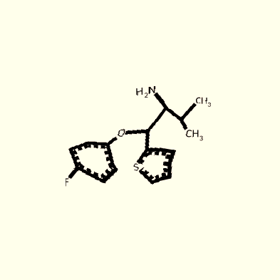 CC(C)C(N)C(Oc1ccc(F)cc1)c1cccs1